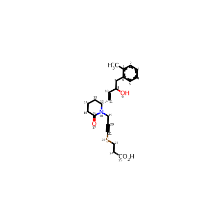 Cc1ccccc1CC(O)/C=C/[C@H]1CCCC(=O)N1CC#CSCCC(=O)O